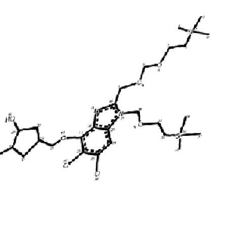 C[Si](C)(C)CCOCOCc1nc2c(OCC3CC(O)C(O)C3)c(Cl)c(Cl)cc2n1COCC[Si](C)(C)C